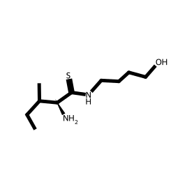 CCC(C)[C@H](N)C(=S)NCCCCO